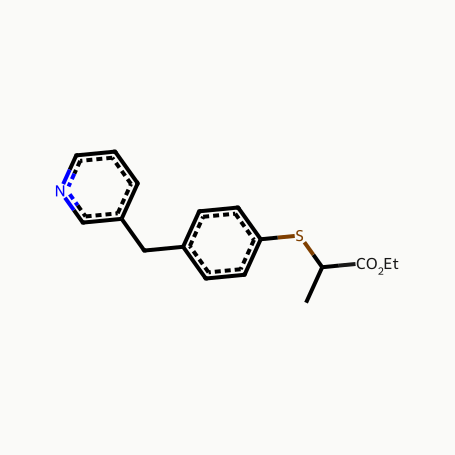 CCOC(=O)C(C)Sc1ccc(Cc2cccnc2)cc1